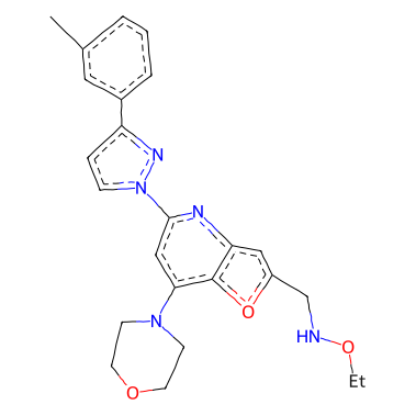 CCONCc1cc2nc(-n3ccc(-c4cccc(C)c4)n3)cc(N3CCOCC3)c2o1